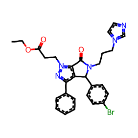 CCOC(=O)CCn1nc(-c2ccccc2)c2c1C(=O)N(CCCn1ccnc1)C2c1ccc(Br)cc1